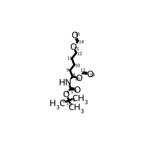 CC(C)(C)OC(=O)NC(CCCCOC=O)OC=O